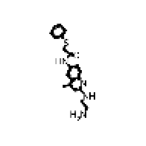 Cc1cc(NCCN)nc2ccc(NC(=O)CSc3ccccc3)cc12